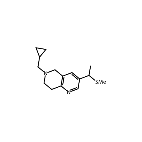 CSC(C)c1cnc2c(c1)CN(CC1CC1)CC2